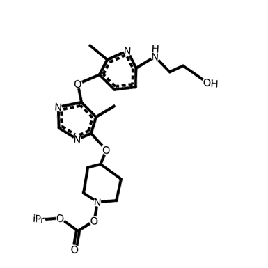 Cc1nc(NCCO)ccc1Oc1ncnc(OC2CCN(OC(=O)OC(C)C)CC2)c1C